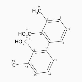 Cc1ccccc1C(=O)O.O=C(O)c1ccccc1Cl